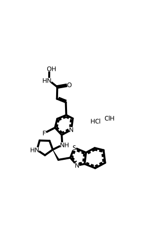 Cl.Cl.O=C(/C=C/c1cnc(N[C@@]2(Cc3nc4ccccc4s3)CCNC2)c(F)c1)NO